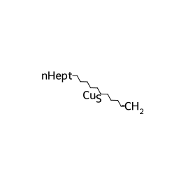 C=CCCCCCCCCCCCCCCCC.[S]=[Cu]